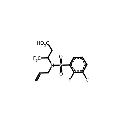 C=CCN(C(CC(=O)O)C(F)(F)F)S(=O)(=O)c1cccc(Cl)c1F